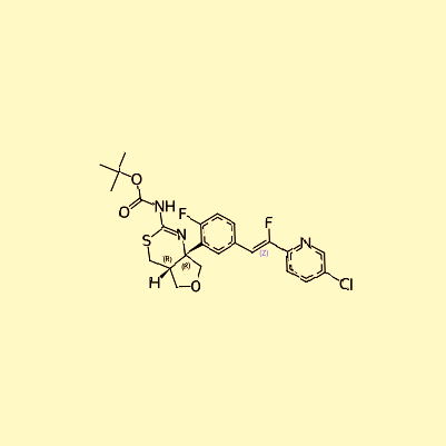 CC(C)(C)OC(=O)NC1=N[C@]2(c3cc(/C=C(\F)c4ccc(Cl)cn4)ccc3F)COC[C@@H]2CS1